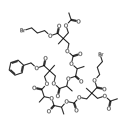 CC(=O)OCC(C)(COC(=O)OC(C)C(=O)OC(C)C(=O)OCC(C)(COC(=O)C(C)OC(=O)C(C)OC(=O)OCC(C)(COC(C)=O)C(=O)OCCCBr)C(=O)OCc1ccccc1)C(=O)OCCCBr